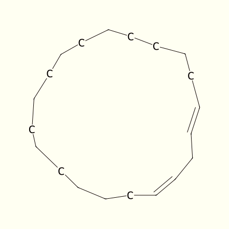 C1=CCCCCCCCCCCCCCCC/C=C/C1